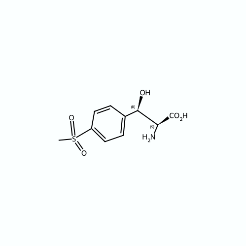 CS(=O)(=O)c1ccc([C@@H](O)[C@H](N)C(=O)O)cc1